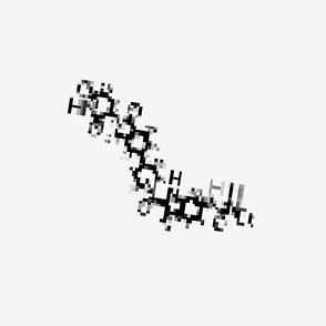 CCNC(=O)Nc1ccc2c(C)c(C(=O)N3CCC(c4ccc5c(c4)CN(C4CCC(=O)NC4=O)C5=O)CC3)[nH]c2c1